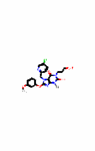 CCN1c2nc(Oc3cccc(OC(F)(F)F)c3)n(Cc3ccc(Cl)cn3)c2C(=O)N(CCCO)C1O